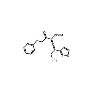 CCCCCC(=C=C(CC(F)(F)F)c1ccsc1)C(=O)CCc1ccccc1